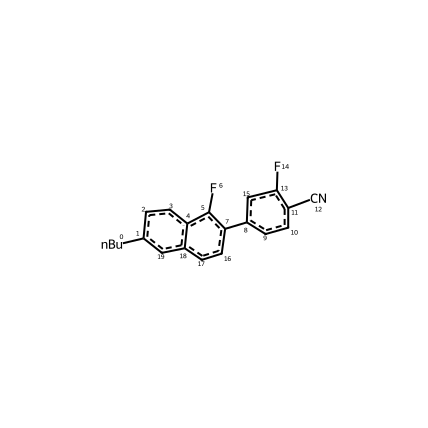 CCCCc1ccc2c(F)c(-c3ccc(C#N)c(F)c3)ccc2c1